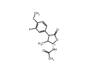 CSc1ccc(N2C(=O)O[C@H](NC(C)=O)C2C)cc1F